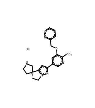 Cl.Nc1ncc(-c2cc3n(n2)CC[C@@]32CCNC2)cc1OCc1cccnn1